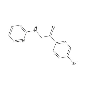 O=C(CNc1ccccn1)c1ccc(Br)cc1